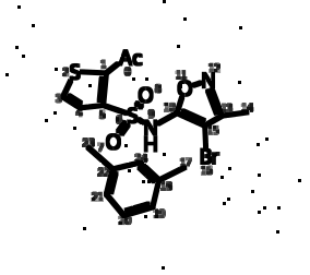 CC(=O)c1sccc1S(=O)(=O)Nc1onc(C)c1Br.Cc1cccc(C)c1